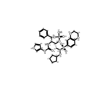 O=C(N[C@@H](Cc1ccccc1)[C@@H](CN(OC1CCCC1)S(=O)(=O)c1ccc2c(c1)OCCO2)OP(=O)(O)O)Oc1ccoc1